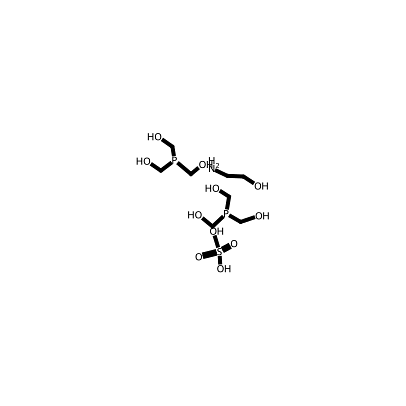 NCCO.O=S(=O)(O)O.OCP(CO)CO.OCP(CO)CO